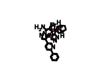 CC(C)c1c([C@H]2C[C@H]3CC[C@@H](C2)N3C(=O)c2nnc[nH]2)nc2c(-c3ccc(-c4ccccc4)nc3)cnn2c1N